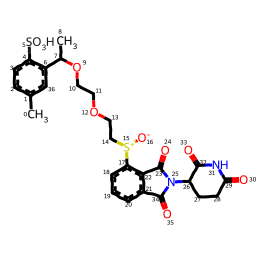 Cc1ccc(S(=O)(=O)O)c(C(C)OCCOCC[S+]([O-])c2cccc3c2C(=O)N(C2CCC(=O)NC2=O)C3=O)c1